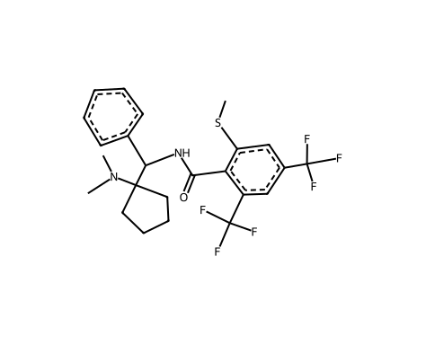 CSc1cc(C(F)(F)F)cc(C(F)(F)F)c1C(=O)NC(c1ccccc1)C1(N(C)C)CCCC1